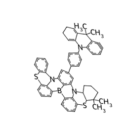 CC1(C)C2=CCCC=C2N(c2ccc(-c3cc4c5c(c3)N3c6c(cccc6B5c5cccc6c5N4c4ccccc4S6)SC4C3CCCC4(C)C)cc2)c2ccc#cc21